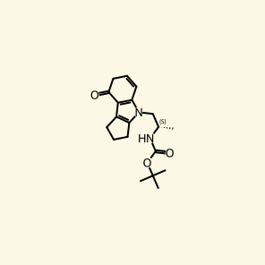 C[C@@H](Cn1c2c(c3c1CCC3)C(=O)CC=C2)NC(=O)OC(C)(C)C